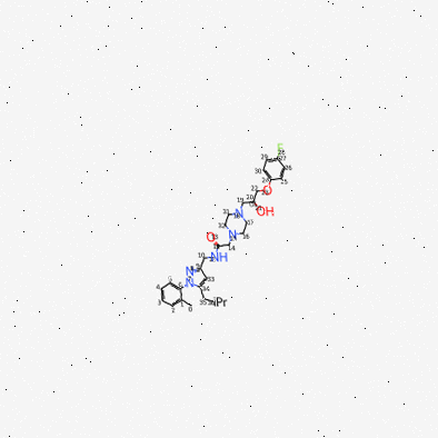 Cc1ccccc1-n1nc(CNC(=O)CN2CCN(C[C@H](O)COc3ccc(F)cc3)CC2)cc1CC(C)C